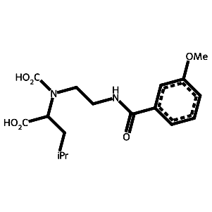 COc1cccc(C(=O)NCCN(C(=O)O)C(CC(C)C)C(=O)O)c1